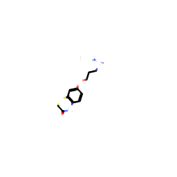 CN(C)CCCOc1ccc2c(c1)SCC(=O)N2